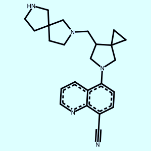 N#Cc1ccc(N2CC(CN3CCC4(CCNC4)C3)C3(CC3)C2)c2cccnc12